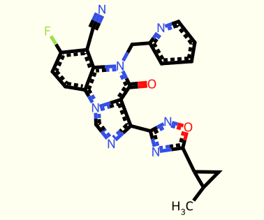 CC1CC1c1nc(-c2ncn3c2c(=O)n(Cc2ccccn2)c2c(C#N)c(F)ccc23)no1